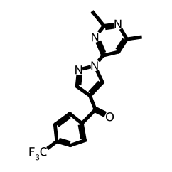 Cc1cc(-n2cc(C(=O)c3ccc(C(F)(F)F)cc3)cn2)nc(C)n1